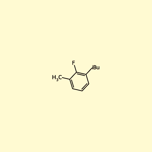 CCC(C)c1cccc(C)c1F